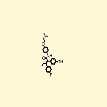 CC/C(=C(\C(=O)Nc1ccc(OCCN(C)C)cc1)c1ccc(O)cc1)c1ccc(F)cc1